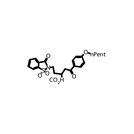 CCCCCOc1ccc(C(=O)CC(CCN2C(=O)c3ccccc3S2(=O)=O)C(=O)O)cc1